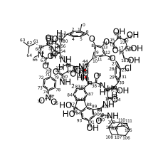 Cc1cc2ccc1Oc1cc3cc(c1O[C@@H]1O[C@H](CO)[C@@H](O)[C@H](O)[C@H]1O)Oc1ccc(cc1Cl)[C@@H](O)[C@@H]1NC(=O)[C@H](NC(=O)[C@@H]3NC(=O)[C@H](CC(N)=O)NC(=O)[C@H](NC(=O)[C@@H](CC(C)C)N(C)C(=O)OCc3ccc([N+](=O)[O-])cc3)[C@@H]2O)c2ccc3c(c2)-c2c(cc(O)cc2C3(O)O)[C@@H](C(=O)NC2C3CC4CC(C3)CC2C4)NC1=O